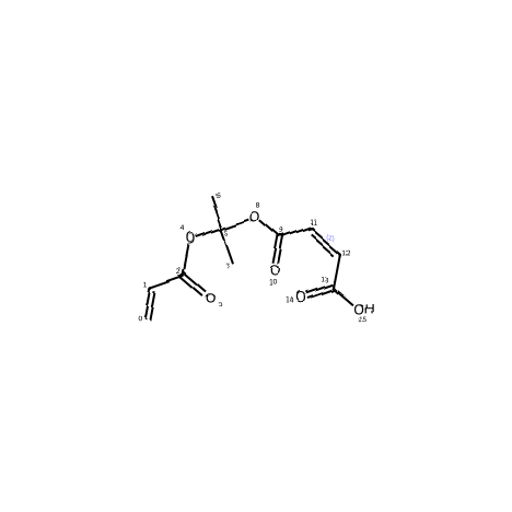 C=CC(=O)OC(C)(C)OC(=O)/C=C\C(=O)O